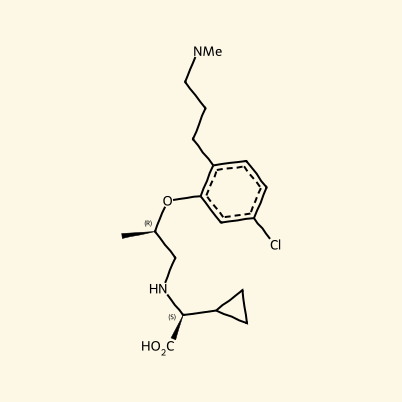 CNCCCc1ccc(Cl)cc1O[C@H](C)CN[C@H](C(=O)O)C1CC1